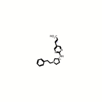 O=C(O)/C=C/c1cnc(N[C@@H]2CCN(CCc3ccccc3)C2)nc1